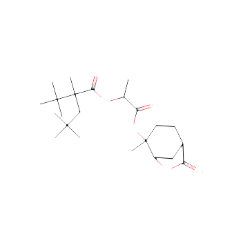 CC(OC(=O)C(C)(CC(C)(C)C)C(C)(C)C)C(=O)OC1(C)CCC2CC1OC2=O